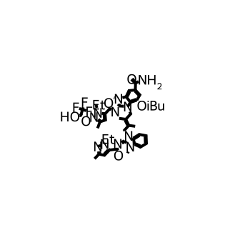 CCn1nc(C)cc1C(=O)/N=c1\n(C)c2ccccc2n1C/C(C)=C(\C)Cn1/c(=N/C(=O)c2cc(C)nn2CC)n(C)c2cc(C(N)=O)cc(OCC(C)C)c21.O=C(O)C(F)(F)F